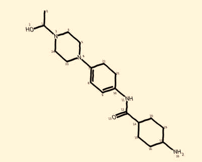 CC(O)N1CCN(C2=CC=C(NC(=O)C3CCC(N)CC3)CC2)CC1